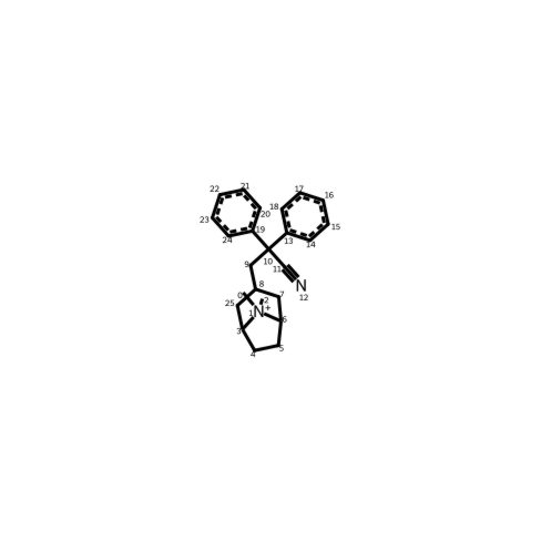 C[N+]1(C)C2CCC1CC(CC(C#N)(c1ccccc1)c1ccccc1)C2